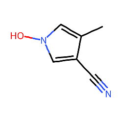 Cc1cn(O)cc1C#N